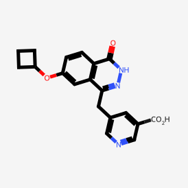 O=C(O)c1cncc(Cc2n[nH]c(=O)c3ccc(OC4CCC4)cc23)c1